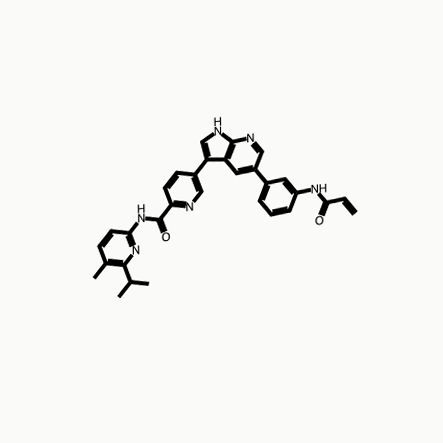 C=CC(=O)Nc1cccc(-c2cnc3[nH]cc(-c4ccc(C(=O)Nc5ccc(C)c(C(C)C)n5)nc4)c3c2)c1